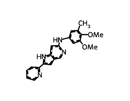 COc1cc(Nc2cc3[nH]c(-c4ccccn4)cc3cn2)cc(C)c1OC